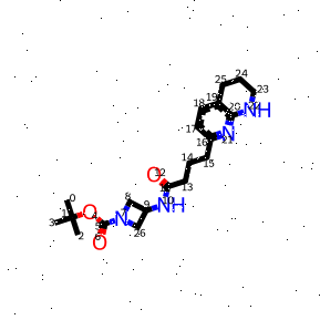 CC(C)(C)OC(=O)N1CC(NC(=O)CCCc2ccc3c(n2)NCCC3)C1